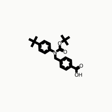 CC(C)(C)OC(=O)N(Cc1ccc(C(=O)O)cc1)c1ccc(C(C)(C)C)cc1